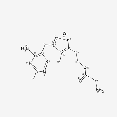 Cc1ncc(C[n+]2csc(CCOC(=O)CN)c2C)c(N)n1.[Zn]